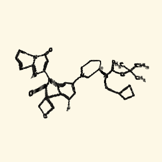 CC(C)(C)OC(=O)N(CC1CCC1)[C@@H]1CCCN(c2cnc(C3(C(=O)Nc4cc(=O)n5ccccc5n4)COC3)c(F)c2)C1